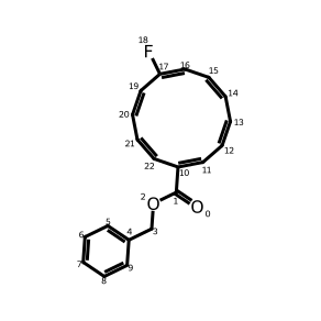 O=C(OCc1ccccc1)C1=C/C=C\C=C/C=C(F)\C=C/C=C\1